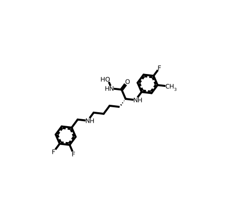 Cc1cc(N[C@H](CCCCNCc2ccc(F)c(F)c2)C(=O)NO)ccc1F